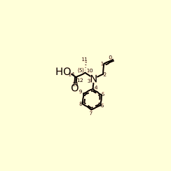 C=CCN(c1ccccc1)[C@@H](C)C(=O)O